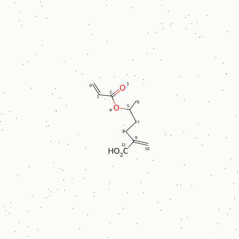 C=CC(=O)OC(C)CCC(=C)C(=O)O